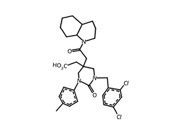 Cc1ccc(N2CC(CC(=O)O)(CC(=O)N3CCCC4CCCCC43)CN(Cc3ccc(Cl)cc3Cl)C2=O)cc1